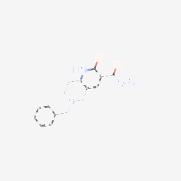 NNC(=O)c1cc2c([nH]c1=O)CCN(Cc1ccccc1)C2